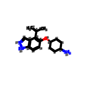 CC(C)c1c(O[C@H]2CC[C@H](N)CC2)ccc2[nH]ncc12